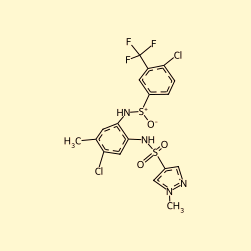 Cc1cc(N[S+]([O-])c2ccc(Cl)c(C(F)(F)F)c2)c(NS(=O)(=O)c2cnn(C)c2)cc1Cl